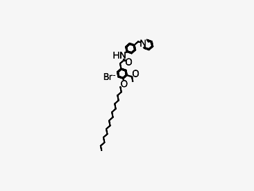 CCCCCCCCCCCCCCCCOc1ccc(CC(=O)Nc2ccc(C[n+]3ccccc3)cc2)cc1C(C)=O.[Br-]